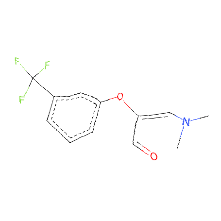 CN(C)C=C(C=O)Oc1cccc(C(F)(F)F)c1